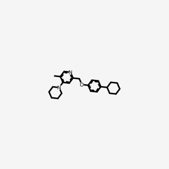 Cc1cnc(COc2ccc(C3CCCCC3)cc2)cc1N1CCCCC1